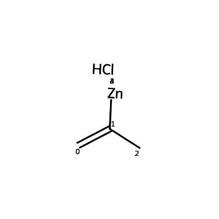 C=[C](C)[Zn].Cl